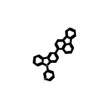 c1cncc(-n2c3ccccc3c3cc(-c4ccc5c6c(cccc46)-c4ccccc4-5)ccc32)c1